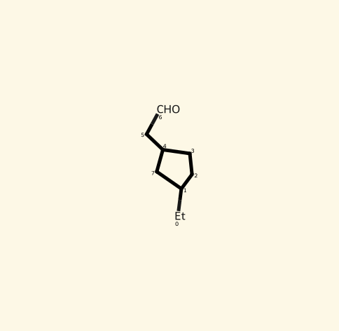 CCC1CCC(CC=O)C1